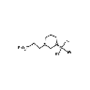 CCOC(=O)CCN1CCCN([Si](C(C)C)(C(C)C)C(C)C)C1